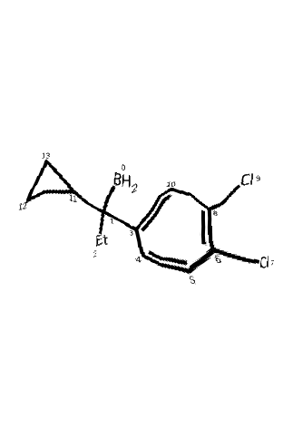 BC(CC)(c1ccc(Cl)c(Cl)c1)C1CC1